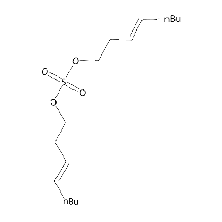 CCCC/C=C/CCOS(=O)(=O)OCC/C=C/CCCC